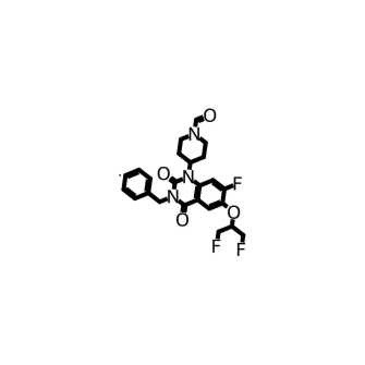 O=CN1CCC(n2c(=O)n(Cc3cc[c]cc3)c(=O)c3cc(OC(CF)CF)c(F)cc32)CC1